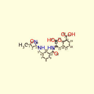 Cc1cc(NCc2cccc(C(=O)N[C@H]3Cc4cccc(C(=O)O)c4OB3O)c2)no1